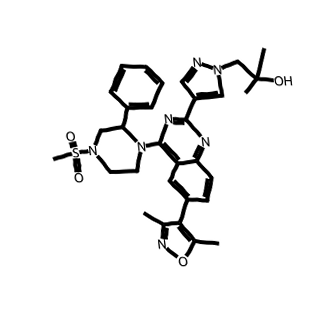 Cc1noc(C)c1-c1ccc2nc(-c3cnn(CC(C)(C)O)c3)nc(N3CCN(S(C)(=O)=O)CC3c3ccccc3)c2c1